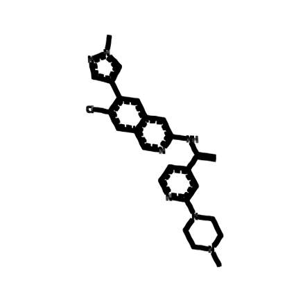 C=C(Nc1cc2cc(-c3cnn(C)c3)c(Cl)cc2cn1)c1ccnc(N2CCN(C)CC2)c1